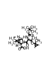 C[C@@H](OC1(C)CC1)[C@H](NC(=O)OC(C)(C)C)C(=O)N1C[C@H]2[C@@H]([C@H]1C(=O)O)C2(C)C